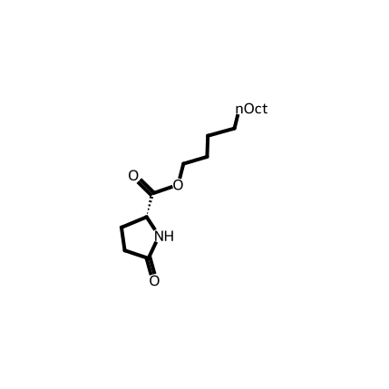 CCCCCCCCCCCCOC(=O)[C@H]1CCC(=O)N1